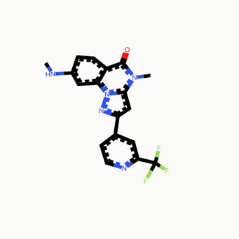 CNc1ccc2c(=O)n(C)c3cc(-c4ccnc(C(F)(F)F)c4)nn3c2c1